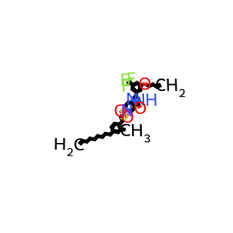 C=CCCCCCCCc1ccc(CCS(=O)(=O)N2CCC3(CC2)N=C(c2cc(OCCC=C)cc(C(F)(F)F)c2)NC3=O)c(C)c1